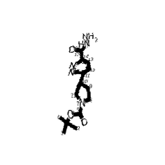 CC(C)(C)OC(=O)N1CCC(c2ccc(C(=O)NN)nn2)C1